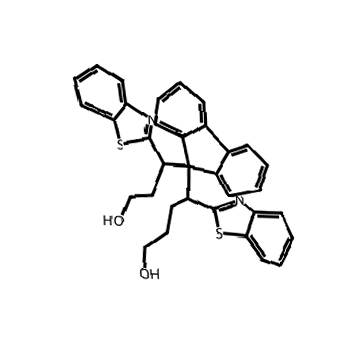 OCCCC(c1nc2ccccc2s1)C1(C(CCO)c2nc3ccccc3s2)c2ccccc2-c2ccccc21